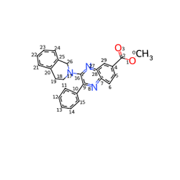 COC(=O)c1ccc2nc(-c3ccccc3)c(N3CCc4ccccc4C3)nc2c1